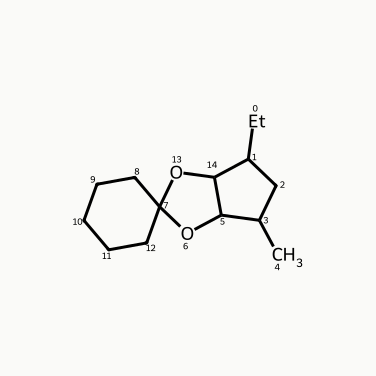 CCC1CC(C)C2OC3(CCCCC3)OC12